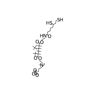 CC(C)(C)CC(C)(C(=O)OCCNC(=O)CCCCC(S)CCS)C(C)(C)C(C)(C)C(C)(C(=O)OCC[N+](C)(C)CCCS(=O)(=O)[O-])C(C)(C)C